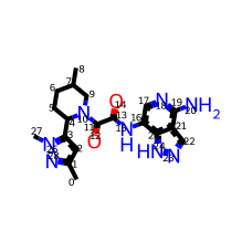 Cc1cc(C2CCC(C)CN2C(=O)C(=O)Nc2cnc(N)c3cn[nH]c23)n(C)n1